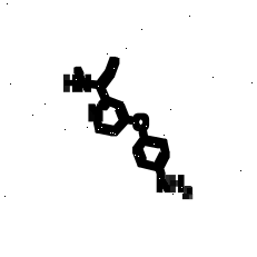 C=C=C(NC)c1cc(Oc2ccc(N)cc2)ccn1